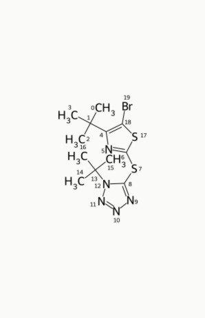 CC(C)(C)c1nc(Sc2nnnn2C(C)(C)C)sc1Br